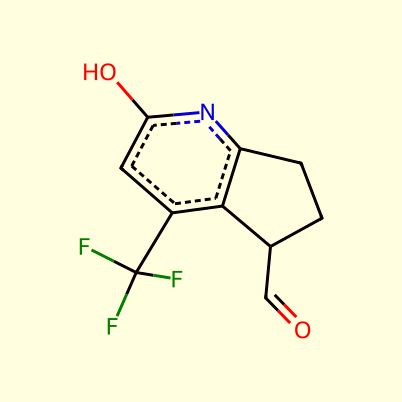 O=CC1CCc2nc(O)cc(C(F)(F)F)c21